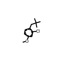 COc1ccc(CC(C)(C)C)c(Cl)c1